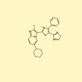 Cc1nc2ccc(C3CCCCC3)cn2c1-c1nc(-c2ccccc2)c(C2=NCC=N2)s1